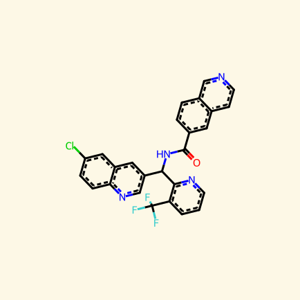 O=C(NC(c1cnc2ccc(Cl)cc2c1)c1ncccc1C(F)(F)F)c1ccc2cnccc2c1